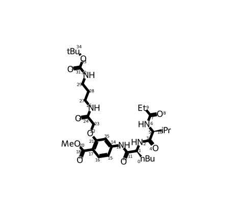 CCCC[C@H](NC(=O)[C@@H](NC(=O)CC)C(C)C)C(=O)Nc1ccc(C(=O)OC)c(OCC(=O)NCCCNC(=O)OC(C)(C)C)c1